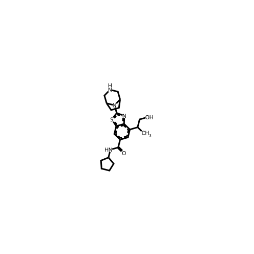 CC(CO)c1cc(C(=O)NC2CCCC2)cc2sc(N3C4CCC3CNC4)nc12